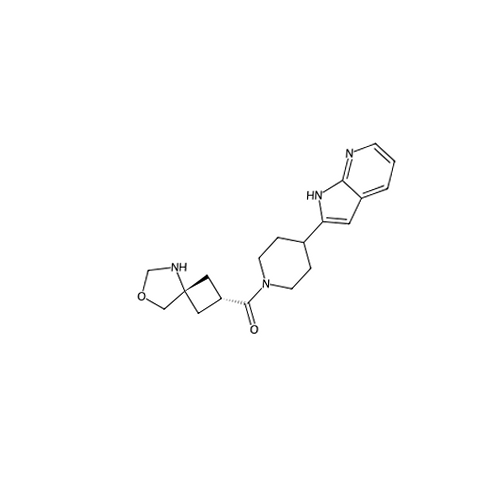 O=C([C@H]1C[C@]2(COCN2)C1)N1CCC(c2cc3cccnc3[nH]2)CC1